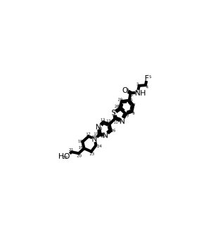 O=C(NCCF)c1ccc2nc(-c3cnc(N4CCC(CCO)CC4)nc3)sc2c1